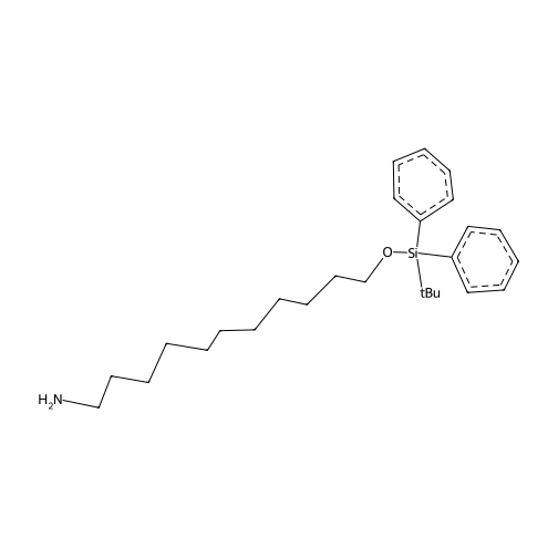 CC(C)(C)[Si](OCCCCCCCCCCCN)(c1ccccc1)c1ccccc1